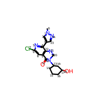 Cn1cc(-c2nc(Cl)cc3c(=O)n(C4CCCC(O)C4)cnc23)cn1